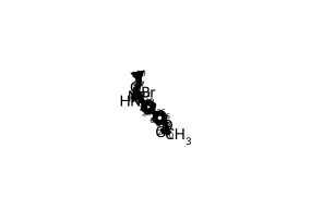 CC(=O)OC1CCC(c2ccc(-c3[nH]nc(OCC4CC4)c3Br)cc2)CC1